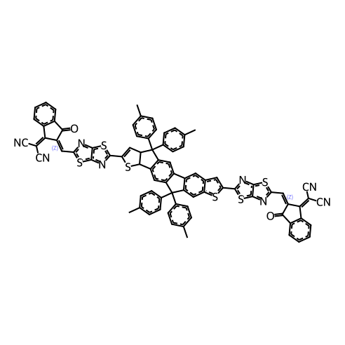 Cc1ccc(C2(c3ccc(C)cc3)c3cc4c(cc3-c3cc5cc(-c6nc7sc(/C=C8\C(=O)c9ccccc9C8=C(C#N)C#N)nc7s6)sc5cc32)C(c2ccc(C)cc2)(c2ccc(C)cc2)C2C=C(c3nc5sc(/C=C6\C(=O)c7ccccc7C6=C(C#N)C#N)nc5s3)SC42)cc1